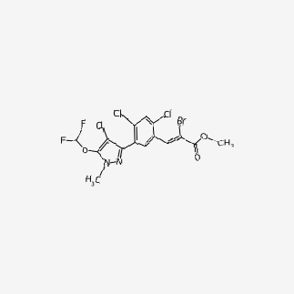 COC(=O)/C(Br)=C/c1cc(-c2nn(C)c(OC(F)F)c2Cl)c(Cl)cc1Cl